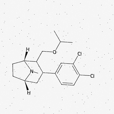 CC(C)OCC1C(c2ccc(Cl)c(Cl)c2)C[C@@H]2CC[C@H]1N2C